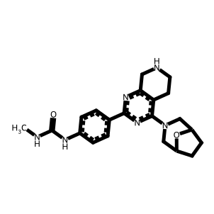 CNC(=O)Nc1ccc(-c2nc3c(c(N4CC5CCC(C4)O5)n2)CCNC3)cc1